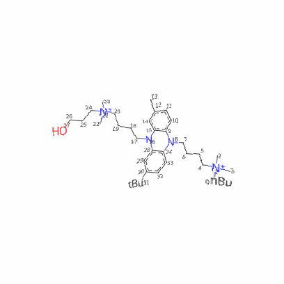 CCCC[N+](C)(C)CCCCN1c2ccc(C)cc2N(CCCC[N+](C)(C)CCCO)c2cc(C(C)(C)C)ccc21